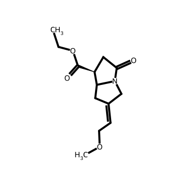 CCOC(=O)[C@H]1CC(=O)N2CC(=CCOC)CC12